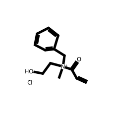 C=CC(=O)[N+](C)(CCO)Cc1ccccc1.[Cl-]